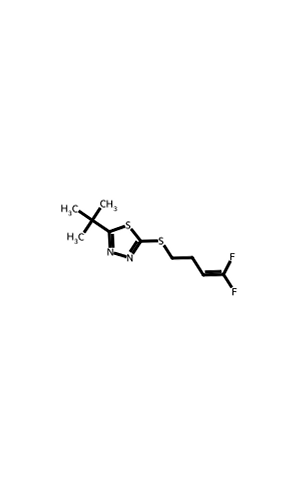 CC(C)(C)c1nnc(SCCC=C(F)F)s1